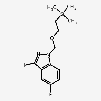 C[Si](C)(C)CCOCn1nc(I)c2cc(F)ccc21